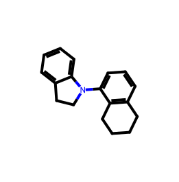 c1ccc2c(c1)CCN2c1cccc2c1CCCC2